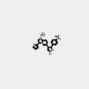 CS(=O)(=O)c1ccc(-c2n[nH]cc2-c2ccc3ncc(-c4cccs4)n3c2)cc1.Cl.Cl